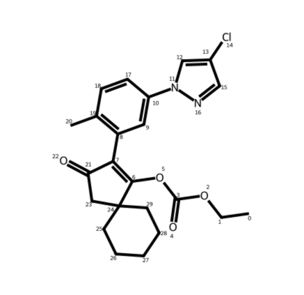 CCOC(=O)OC1=C(c2cc(-n3cc(Cl)cn3)ccc2C)C(=O)CC12CCCCC2